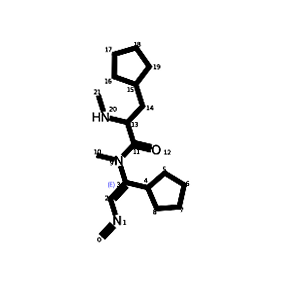 C=N/C=C(\C1CCCC1)N(C)C(=O)C(CC1CCCC1)NC